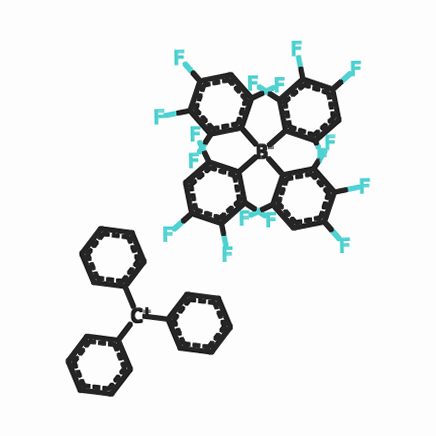 Fc1cc(F)c([B-](c2c(F)cc(F)c(F)c2F)(c2c(F)cc(F)c(F)c2F)c2c(F)cc(F)c(F)c2F)c(F)c1F.c1ccc([C+](c2ccccc2)c2ccccc2)cc1